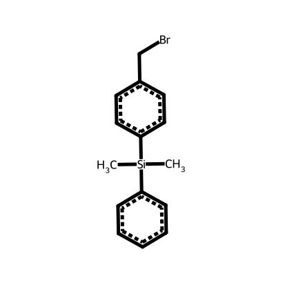 C[Si](C)(c1ccccc1)c1ccc(CBr)cc1